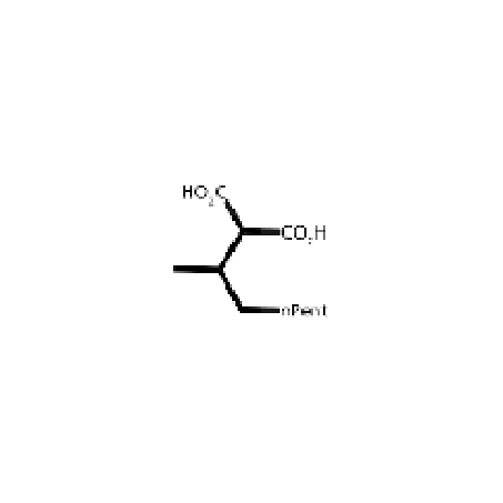 CCCCCCC(C)C(C(=O)O)C(=O)O